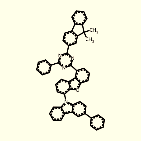 CC1(C)c2ccccc2-c2ccc(-c3nc(-c4ccccc4)nc(-c4cccc5oc6c(-n7c8ccccc8c8cc(-c9ccccc9)ccc87)cccc6c45)n3)cc21